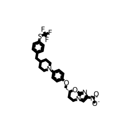 O=[N+]([O-])c1cn2c(n1)O[C@@H](COc1ccc(N3CCC(Cc4ccc(SC(F)(F)F)cc4)CC3)cc1)CC2